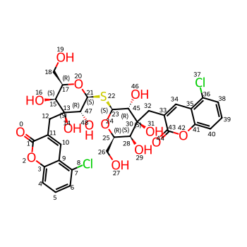 O=c1oc2cccc(Cl)c2cc1C[C@]1(O)[C@@H](O)[C@@H](CO)O[C@@H](S[C@@H]2O[C@H](CO)[C@H](O)[C@@](O)(Cc3cc4c(Cl)cccc4oc3=O)[C@H]2O)[C@@H]1O